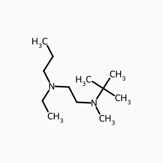 CCCN(CC)CCN(C)C(C)(C)C